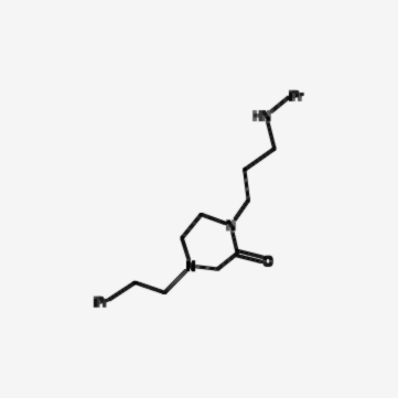 CC(C)CCN1CCN(CCCNC(C)C)C(=O)C1